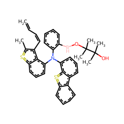 C=C/C=C\c1c(C)sc2cccc(N(c3ccccc3BOC(C)(C)C(C)(C)O)c3cccc4c3sc3ccccc34)c12